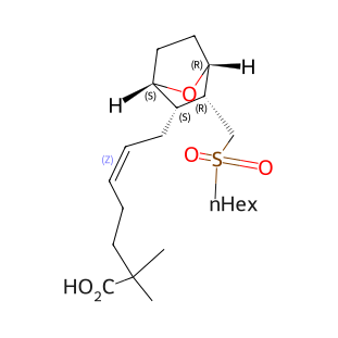 CCCCCCS(=O)(=O)C[C@@H]1[C@H](C/C=C\CCC(C)(C)C(=O)O)[C@@H]2CC[C@H]1O2